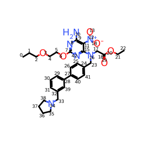 CCCOCCOc1nc(N)c([N+](=O)[O-])c(N(CC(=O)OCC)Cc2ccc(-c3cccc(CN4CCCC4)c3)cc2)n1